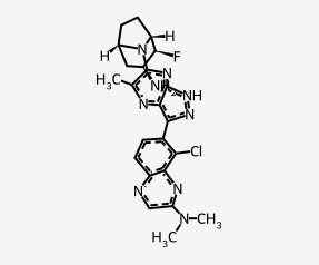 Cc1nc2c(-c3ccc4ncc(N(C)C)nc4c3Cl)n[nH]c2nc1N1[C@H]2CC[C@@H]1[C@@H](F)[C@@H](N)C2